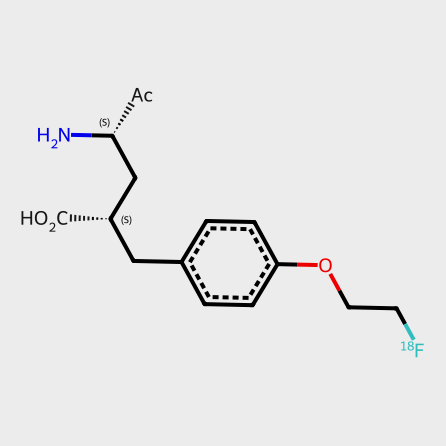 CC(=O)[C@@H](N)C[C@H](Cc1ccc(OCC[18F])cc1)C(=O)O